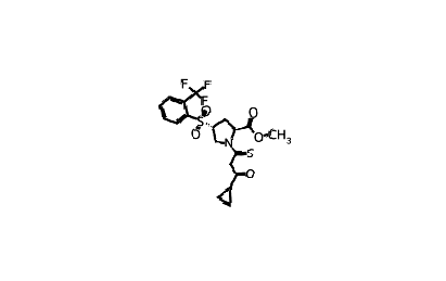 COC(=O)[C@@H]1C[C@@H](S(=O)(=O)c2ccccc2C(F)(F)F)CN1C(=S)CC(=O)C1CC1